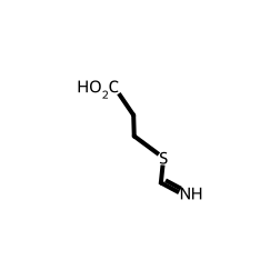 N=CSCCC(=O)O